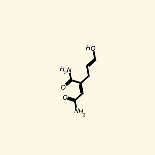 NC(=O)C=C(CC=CO)C(N)=O